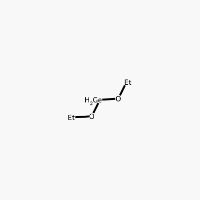 CC[O][GeH2][O]CC